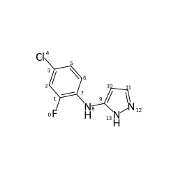 Fc1cc(Cl)ccc1Nc1ccn[nH]1